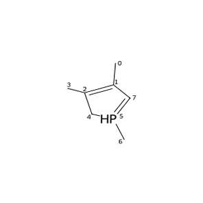 CC1=C(C)C[PH](C)=C1